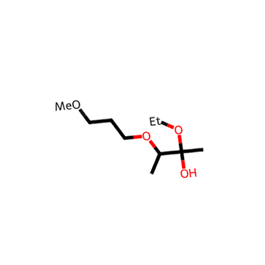 CCOC(C)(O)C(C)OCCCOC